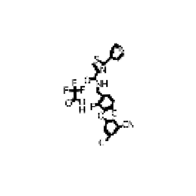 N#Cc1cc(Cl)cc(Oc2c(Cl)ccc(CNC(=O)c3csc(-c4ccncc4)n3)c2F)c1.O=C(O)C(F)(F)F